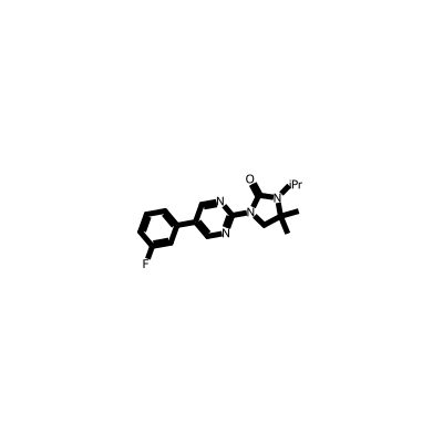 CC(C)N1C(=O)N(c2ncc(-c3cccc(F)c3)cn2)CC1(C)C